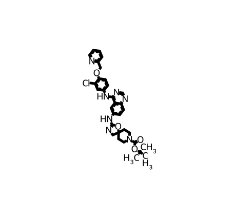 CC(C)(C)OC(=O)N1CCC2(CC1)CN=C(Nc1ccc3ncnc(Nc4ccc(OCc5ccccn5)c(Cl)c4)c3c1)O2